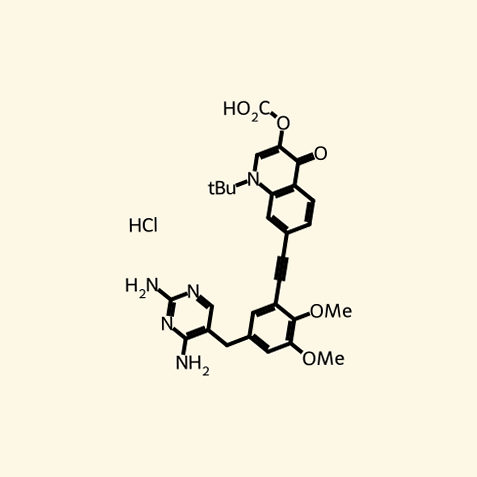 COc1cc(Cc2cnc(N)nc2N)cc(C#Cc2ccc3c(=O)c(OC(=O)O)cn(C(C)(C)C)c3c2)c1OC.Cl